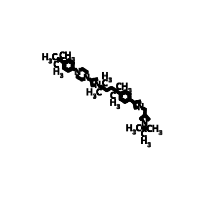 CC(C)(C)c1ccc(N2CCN(C3CN(C(C)(C)CCC(C)(C)c4ccc(C5CN(CC6CN(C(C)(C)C)C6)C5)cc4)C3)CC2)cc1